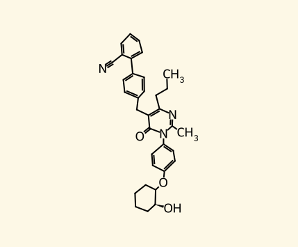 CCCc1nc(C)n(-c2ccc(OC3CCCC[C@@H]3O)cc2)c(=O)c1Cc1ccc(-c2ccccc2C#N)cc1